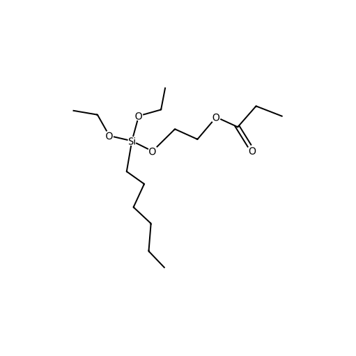 CCCCCC[Si](OCC)(OCC)OCCOC(=O)CC